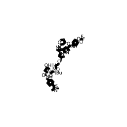 Cc1ncsc1-c1ccc(CNC(=O)[C@@H]2C[C@@H](O)CN2C(=O)[C@@H](NC(=O)CCOC[C@H]2CCN(c3ncc(C(=O)Nc4ccc(OC(F)(F)Cl)cc4)cc3-c3ccnn3C3CCCCO3)C2)C(C)(C)C)cc1